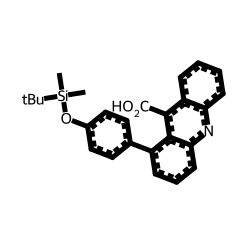 CC(C)(C)[Si](C)(C)Oc1ccc(-c2cccc3nc4ccccc4c(C(=O)O)c23)cc1